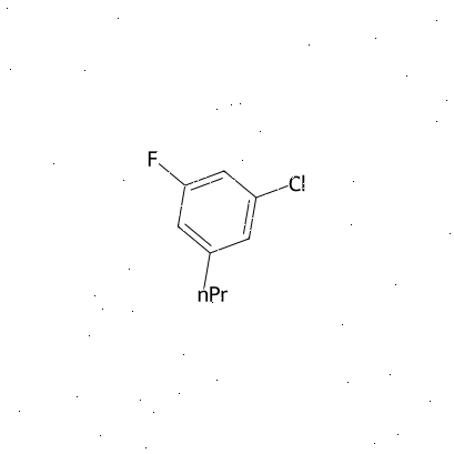 [CH2]CCc1cc(F)cc(Cl)c1